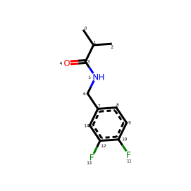 CC(C)C(=O)NCc1ccc(F)c(F)c1